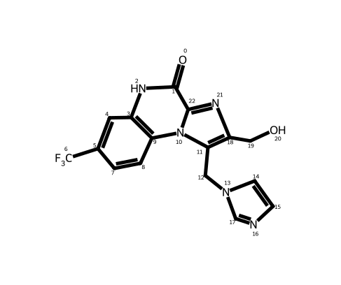 O=c1[nH]c2cc(C(F)(F)F)ccc2n2c(Cn3ccnc3)c(CO)nc12